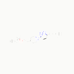 CC(C)(C)[Si](C)(C)OCCC1CCN(c2ccc(C(=O)O)nn2)CC1